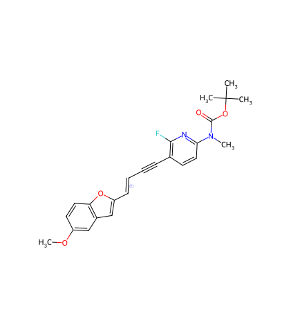 COc1ccc2oc(/C=C/C#Cc3ccc(N(C)C(=O)OC(C)(C)C)nc3F)cc2c1